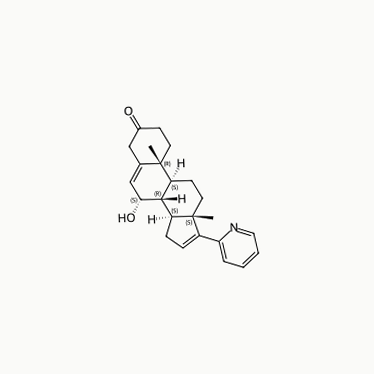 C[C@]12CCC(=O)CC1=C[C@@H](O)[C@@H]1[C@@H]2CC[C@]2(C)C(c3ccccn3)=CC[C@@H]12